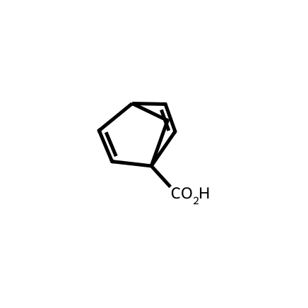 O=C(O)C12C=CC(C=C1)C2